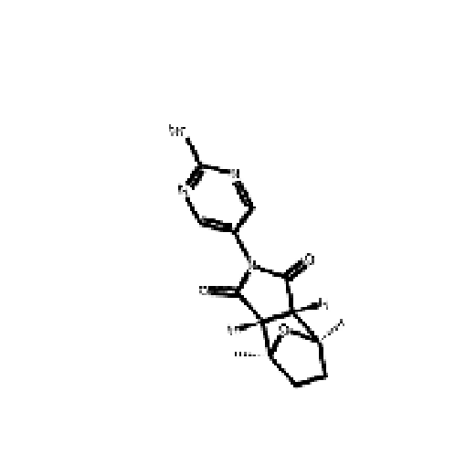 C[C@]12CC[C@](C)(O1)[C@@H]1C(=O)N(c3cnc(C#N)nc3)C(=O)[C@@H]12